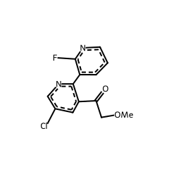 COCC(=O)c1cc(Cl)cnc1-c1cccnc1F